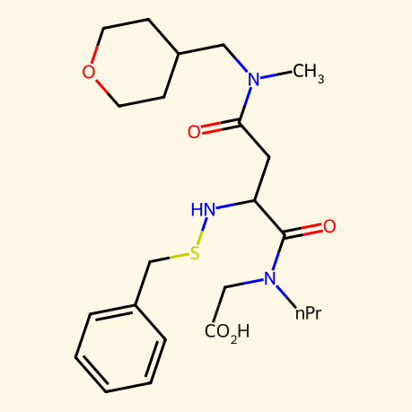 CCCN(CC(=O)O)C(=O)C(CC(=O)N(C)CC1CCOCC1)NSCc1ccccc1